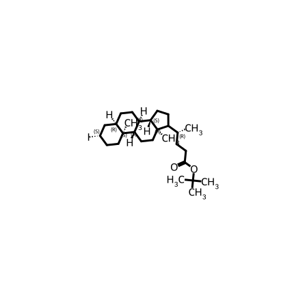 C[C@H](CCC(=O)OC(C)(C)C)C1CC[C@H]2[C@@H]3CC[C@@H]4C[C@@H](I)CC[C@]4(C)[C@H]3CC[C@]12C